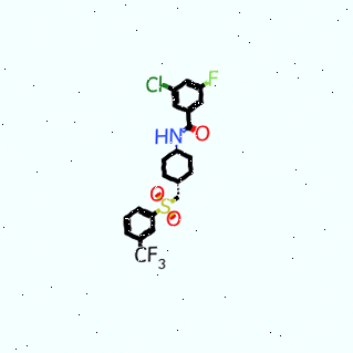 O=C(N[C@H]1CC[C@@H](CS(=O)(=O)c2cccc(C(F)(F)F)c2)CC1)c1cc(F)cc(Cl)c1